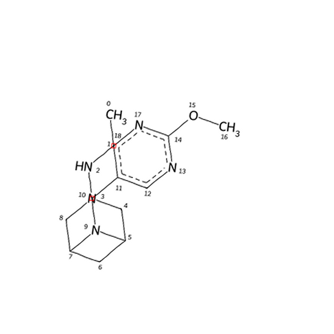 CCNN1CC2CC(C1)N2Cc1cnc(OC)nc1